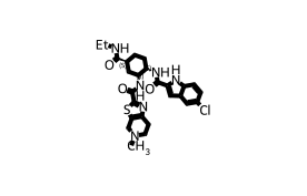 CCNC(=O)[C@H]1CC[C@H](NC(=O)C2=CC3C=C(Cl)C=CC3N2)[C@H](NC(=O)c2nc3c(s2)CN(C)CC3)C1